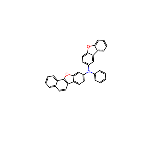 c1ccc(N(c2ccc3c(c2)oc2c4ccccc4ccc32)c2ccc3oc4ccccc4c3c2)cc1